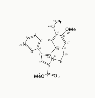 COC(=O)c1cc(-c2cccnc2)c2n1CCc1cc(OC)c(OC(C)C)cc1-2